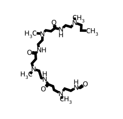 CCCN(C)CCNC(=O)CCN(C)CCNC(=O)CCN(C)CCNC(=O)CCN(C)CCNC=O